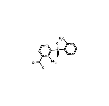 Cc1ccccc1S(=O)(=O)c1cccc(C(=O)Cl)c1N